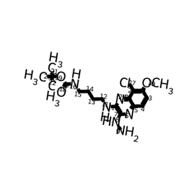 COc1ccc2nc(NN)c(NCCCCNC(=O)OC(C)(C)C)nc2c1Cl